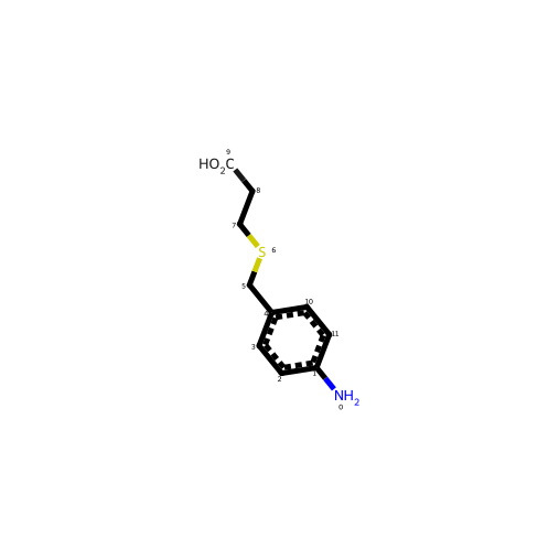 Nc1ccc(CSCCC(=O)O)cc1